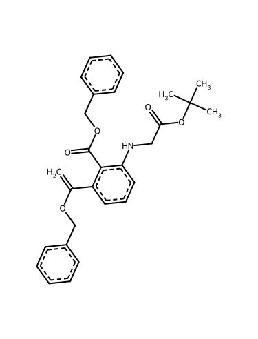 C=C(OCc1ccccc1)c1cccc(NCC(=O)OC(C)(C)C)c1C(=O)OCc1ccccc1